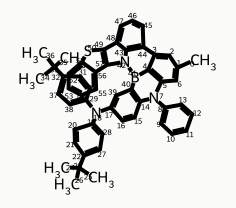 Cc1cc2c3c(c1)N(c1ccccc1)c1ccc(N(c4ccc(C(C)(C)C)cc4)c4ccc(C(C)(C)C)cc4)cc1B3n1c3c-2cccc3c2sc3ccccc3c21